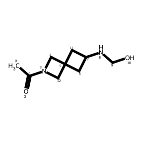 CC(=O)N1CC2(CC(NCO)C2)C1